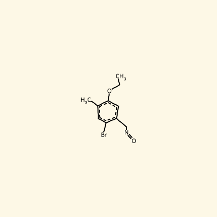 CCOc1cc(CN=O)c(Br)cc1C